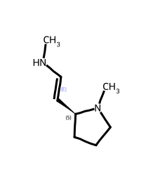 CN/C=C/[C@@H]1CCCN1C